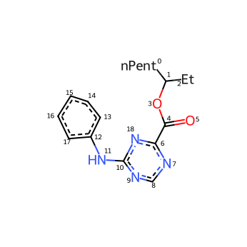 CCCCCC(CC)OC(=O)c1ncnc(Nc2ccccc2)n1